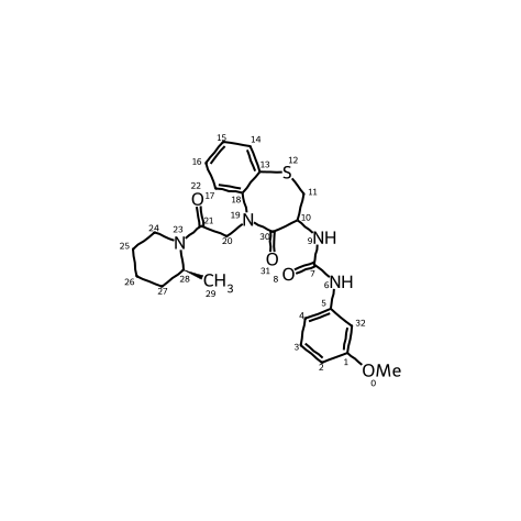 COc1cccc(NC(=O)NC2CSc3ccccc3N(CC(=O)N3CCCC[C@@H]3C)C2=O)c1